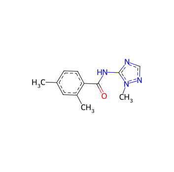 Cc1ccc(C(=O)Nc2ncnn2C)c(C)c1